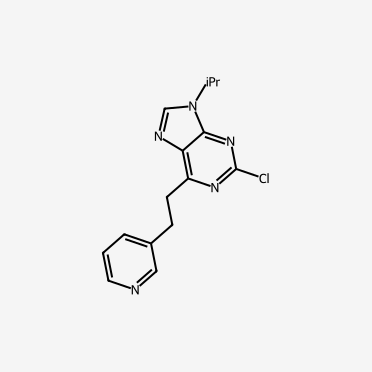 CC(C)n1cnc2c(CCc3cccnc3)nc(Cl)nc21